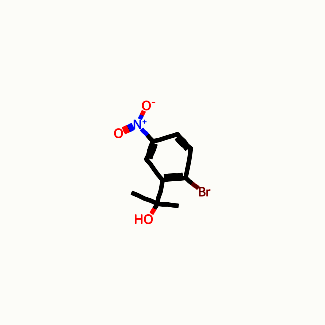 CC(C)(O)c1cc([N+](=O)[O-])ccc1Br